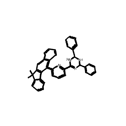 CC1(C)c2ccccc2-c2c1cc1ccccc1c2-c1cccc(C2=NC(c3ccccc3)NC(c3ccccc3)N2)n1